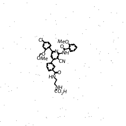 COCOc1cc(Cl)ccc1-c1cc(-c2cccc(C(=O)NCCNC(=O)O)c2)c(C#N)c(NC(=O)c2ccccc2OC)n1